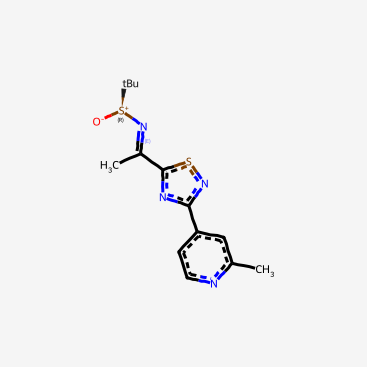 C/C(=N\[S@@+]([O-])C(C)(C)C)c1nc(-c2ccnc(C)c2)ns1